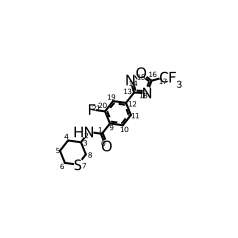 O=C(NC1CCCSC1)c1ccc(-c2noc(C(F)(F)F)n2)cc1F